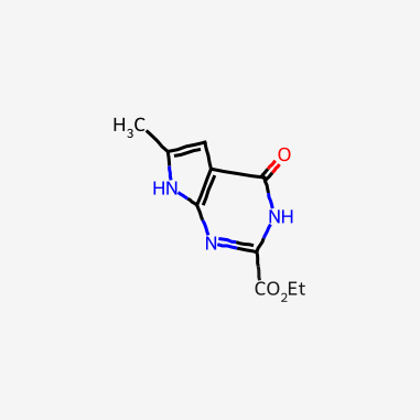 CCOC(=O)c1nc2[nH]c(C)cc2c(=O)[nH]1